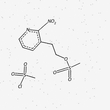 CS(=O)(=O)Cl.CS(=O)(=O)OCCc1cccnc1[N+](=O)[O-]